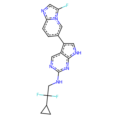 Fc1cnc2ccc(-c3c[nH]c4nc(NCC(F)(F)C5CC5)ncc34)cn12